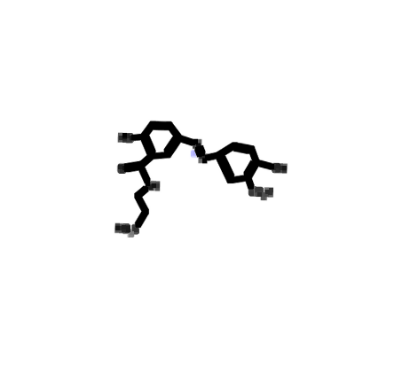 O=C(O)c1cc(/N=N/c2ccc(O)c(C(=O)NCCS(=O)(=O)O)c2)ccc1O